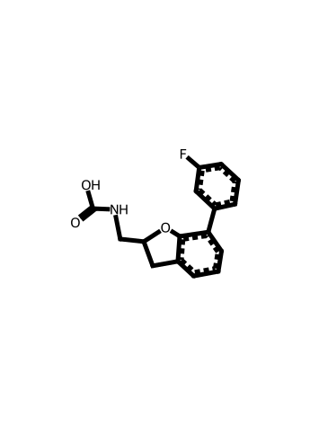 O=C(O)NCC1Cc2cccc(-c3cccc(F)c3)c2O1